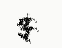 CCc1[nH]c2nc(Sc3cnc4cccnc4c3)nc(N3CCC(NC(CN)C(C)c4[nH]c5nc(Sc6ccc7c(N8CC(CN)C8)nc(C)nc7c6)nc(N6CC[C@H](N)C6)c5c4Cl)C3)c2c1Cl